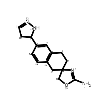 NC1=NC2(CCc3cc(C4CC=NN4)ccc3C2)CO1